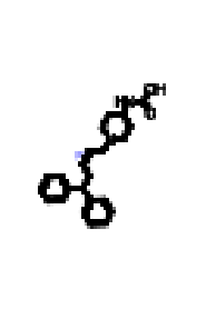 O=C(O)NC1CCN(C/C=C\CC(c2ccccc2)c2ccccc2)CC1